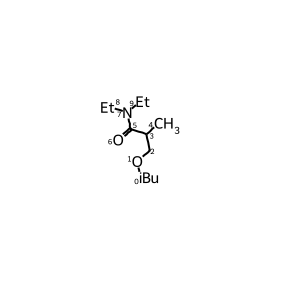 CCC(C)OCC(C)C(=O)N(CC)CC